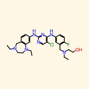 CCN(CCO)Cc1cc(Nc2nc(Nc3ccc4c(c3)N(CC)CCN(CC)C4)ncc2Cl)ccc1F